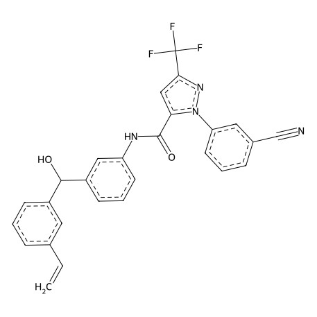 C=Cc1cccc(C(O)c2cccc(NC(=O)c3cc(C(F)(F)F)nn3-c3cccc(C#N)c3)c2)c1